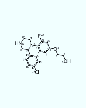 OCCOc1ccc(N2CCNCC2c2ccc(Cl)cc2)c(F)c1